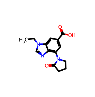 CCn1cnc2c(N3CCCC3=O)cc(C(=O)O)cc21